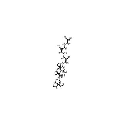 CC[N+](CC)(CC)CCNC(=O)C(Cl)C(C)(Cl)CCC=C(C)CCC=C(C)CCC=C(C)C